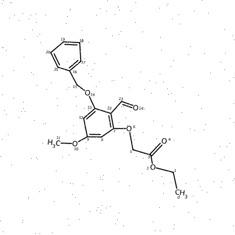 CCOC(=O)COc1cc(OC)cc(OCc2ccccc2)c1C=O